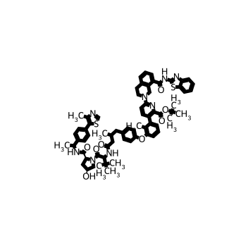 Cc1ncsc1-c1ccc(C(C)NC(=O)[C@@H]2C[C@@H](O)CN2C(=O)C(NC(=O)CC(C)Cc2ccc(Oc3cccc(-c4ccc(N5CCc6cccc(C(=O)Nc7nc8ccccc8s7)c6C5)nc4C(=O)OC(C)(C)C)c3C)cc2)C(C)(C)C)cc1